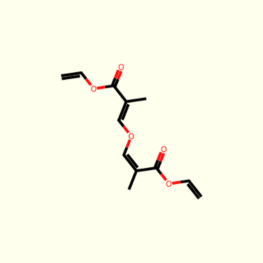 C=COC(=O)C(C)=COC=C(C)C(=O)OC=C